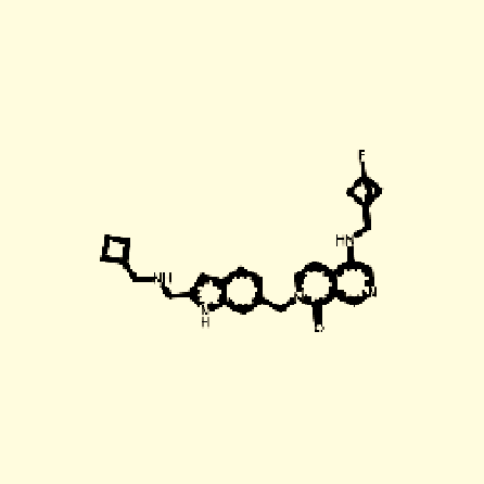 O=c1c2cncc(NCC34CC(F)(C3)C4)c2ccn1Cc1ccc2cc(CNCC3CCC3)[nH]c2c1